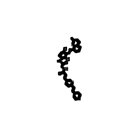 Cc1ccc2cccc(OCc3c(Cl)ccc(N(C)C(=O)CNC(=O)C=Cc4ccc(C=Cc5ccncc5)nc4)c3Cl)c2n1